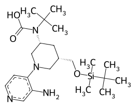 CC(C)(C)N(C(=O)O)[C@@H]1C[C@H](CO[Si](C)(C)C(C)(C)C)CN(c2ccncc2N)C1